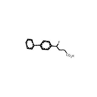 O=C(O)CCC(F)c1ccc(-c2ccccc2)cc1